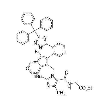 CCCCc1nc(C)c(C(=O)NCC(=O)OCC)n1Cc1c2ccocc-2c(Br)c1-c1ccccc1-c1nnn(C(c2ccccc2)(c2ccccc2)c2ccccc2)n1